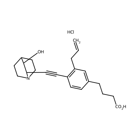 C=CCc1cc(CCCC(=O)O)ccc1C#CC1C(O)C2CCN1CC2.Cl